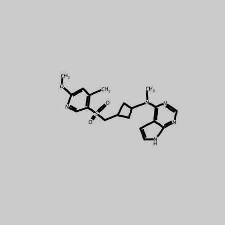 COc1cc(C)c(S(=O)(=O)CC2CC(N(C)c3ncnc4[nH]ccc34)C2)cn1